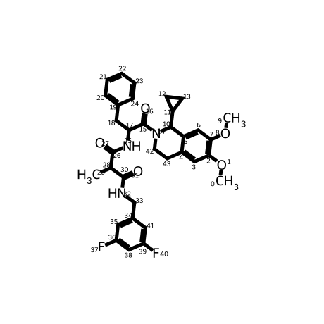 COc1cc2c(cc1OC)C(C1CC1)N(C(=O)C(Cc1ccccc1)NC(=O)C(C)C(=O)NCc1cc(F)cc(F)c1)CC2